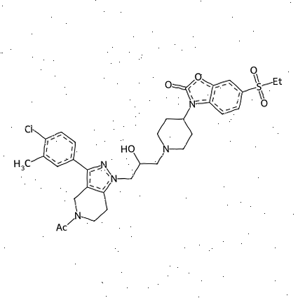 CCS(=O)(=O)c1ccc2c(c1)oc(=O)n2C1CCN(CC(O)Cn2nc(-c3ccc(Cl)c(C)c3)c3c2CCN(C(C)=O)C3)CC1